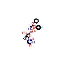 C[C@H](NP(=O)(OC[C@H]1O[C@@H](n2ccc(=O)[nH]c2=O)[C@](C)(C#N)[C@@H]1O)Oc1ccc(F)cc1)C(=O)OC1CCCCC1